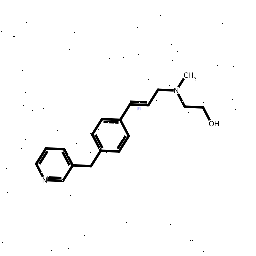 CN(C/C=C/c1ccc(Cc2cccnc2)cc1)CCO